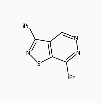 CC(C)c1nsc2c(C(C)C)nncc12